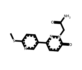 CSc1ccc(-c2ccc(=O)n(CC(N)=O)n2)cn1